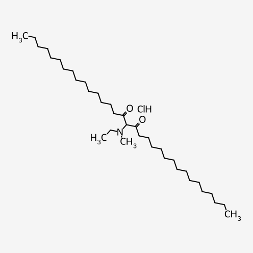 CCCCCCCCCCCCCCCC(=O)C(C(=O)CCCCCCCCCCCCCCC)N(C)CC.Cl